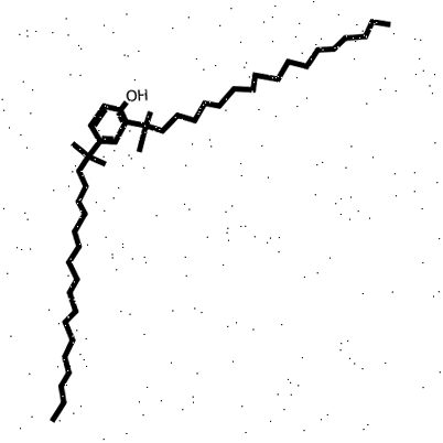 CCCCCCCCCCCCCCCCCC(C)(C)c1ccc(O)c(C(C)(C)CCCCCCCCCCCCCCCCC)c1